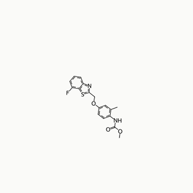 COC(=O)Nc1ccc(OCc2nc3cccc(F)c3s2)cc1C